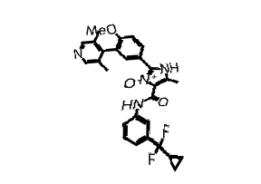 COc1ccc(-c2[nH]c(C)c(C(=O)Nc3cccc(C(F)(F)C4CC4)c3)[n+]2[O-])cc1-c1c(C)cncc1C